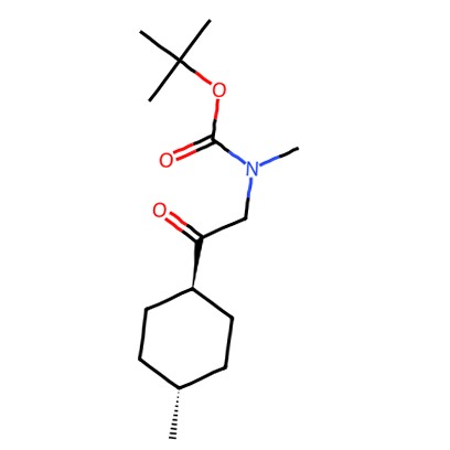 CN(CC(=O)[C@H]1CC[C@H](C)CC1)C(=O)OC(C)(C)C